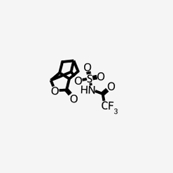 O=C1OC2C3CC(CC13)C2OS(=O)(=O)NC(=O)C(F)(F)F